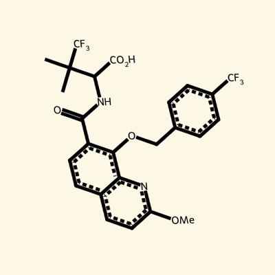 COc1ccc2ccc(C(=O)NC(C(=O)O)C(C)(C)C(F)(F)F)c(OCc3ccc(C(F)(F)F)cc3)c2n1